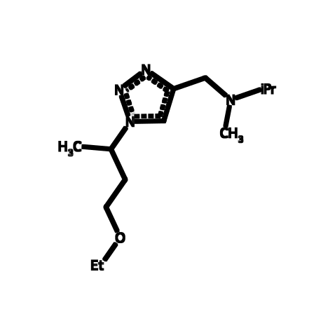 CCOCCC(C)n1cc(CN(C)C(C)C)nn1